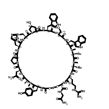 CCCC[C@H]1C(=O)N(C)[C@@H](CCCC)C(=O)N[C@@H](CCCNC(=N)N)C(=O)N[C@H](C(=O)NCC(N)=O)CSCC(=O)N[C@@H](Cc2ccc(O)cc2)C(=O)N(C)[C@@H](C)C(=O)N[C@@H](CC(N)=O)C(=O)N2CCC[C@H]2C(=O)N[C@@H](Cc2cnc[nH]2)C(=O)N[C@@H](CC(C)C)C(=O)N2C[C@H](O)C[C@H]2C(=O)N[C@@H](Cc2c[nH]c3ccccc23)C(=O)N[C@@H]([C@@H](C)O)C(=O)N[C@@H](Cc2c[nH]c3ccccc23)C(=O)N1C